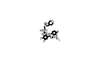 Cc1cc(N/C(=N\O)c2cc(F)c(F)c3nc(NCCN(C)CC4CCOCC4)[nH]c23)ccc1F